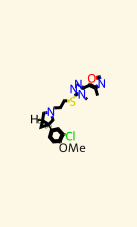 COc1ccc([C@@]23C[C@@H]2CN(CCCSc2nnc(-c4ocnc4C)n2C)C3)cc1Cl